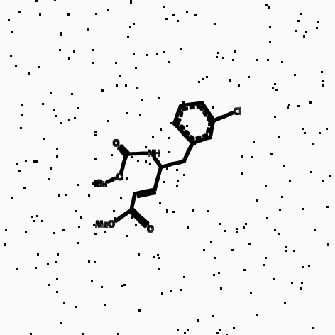 COC(=O)C=CC(Cc1cccc(Cl)c1)NC(=O)OC(C)(C)C